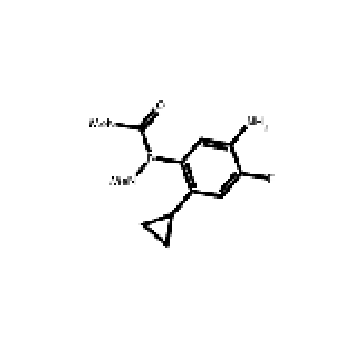 CNC(=O)N(NC)c1cc(N)c(F)cc1C1CC1